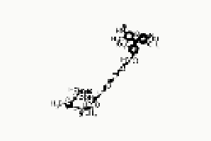 B[C@H]1C[C@@H](OCS(=S)C(C)(C)CNC(=O)CCOCCOCCOCCOCCNC(=O)c2ccc(-c3c4cc(C)/c(=N\CC)cc-4oc4cc(NCC)c(C)cc34)c(C(=O)O)c2)[C@@H](COP(=O)(O)O[PH](=O)O)O1